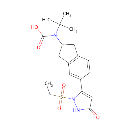 CCS(=O)(=O)n1[nH]c(=O)cc1-c1ccc2c(c1)CC(N(C(=O)O)C(C)(C)C)C2